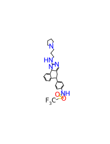 O=S(=O)(CC(F)(F)F)Nc1ccc(C2Cc3cnc(NCCCN4CCCC4)nc3-c3ccccc32)cc1